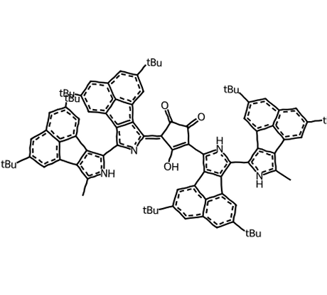 Cc1[nH]c(-c2[nH]c(C3=C(O)/C(=c4\nc(-c5[nH]c(C)c6c5-c5cc(C(C)(C)C)cc7cc(C(C)(C)C)cc-6c57)c5c6cc(C(C)(C)C)cc7cc(C(C)(C)C)cc(c4=5)c76)C(=O)C3=O)c3c2-c2cc(C(C)(C)C)cc4cc(C(C)(C)C)cc-3c24)c2c1-c1cc(C(C)(C)C)cc3cc(C(C)(C)C)cc-2c13